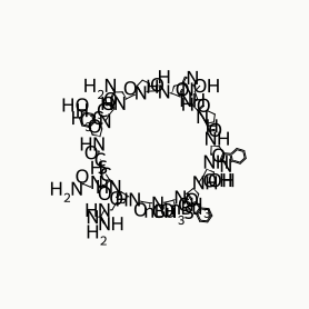 CCCC[C@H]1C(=O)N(C)[C@@H](CCCC)C(=O)N[C@@H](CCCNC(=N)N)C(=O)NC(C(=O)NCC(N)=O)CSCC(=O)N[C@@H](Cc2ccc(O)cc2)C(=O)N(C)[C@@H](C)C(=O)N[C@@H](CC(N)=O)C(=O)N2CCC[C@H]2C(=O)N[C@@H](Cc2cnc[nH]2)C(=O)N[C@@H](CCO)C(=O)N2CCC[C@H]2C(=O)N[C@@H](Cc2c[nH]c3ccccc23)C(=O)N[C@@H](CO)C(=O)N[C@@H](Cc2csc3ccccc23)C(=O)N1C